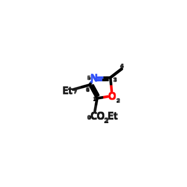 CCOC(=O)c1oc(C)nc1CC